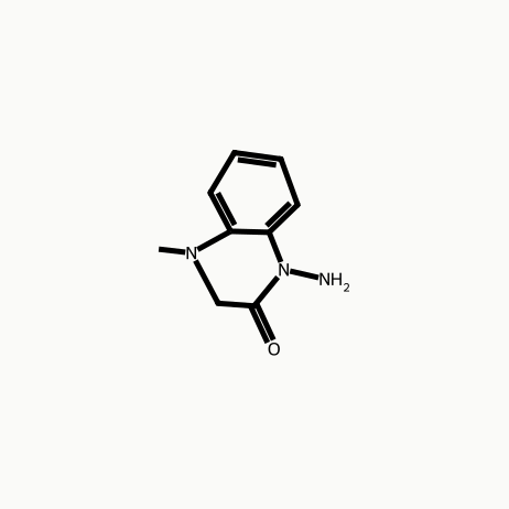 CN1CC(=O)N(N)c2ccccc21